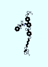 C=CC(=O)OCCCCCCOc1ccc(C(=O)Oc2ccc(-c3ccc(OCC)cc3)c(/C=N/Nc3nc4ccccc4s3)c2)cc1